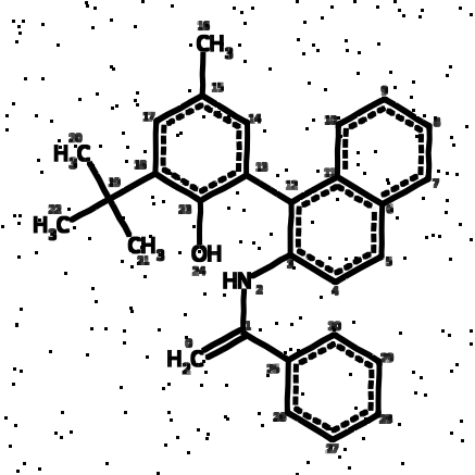 C=C(Nc1ccc2ccccc2c1-c1cc(C)cc(C(C)(C)C)c1O)c1ccccc1